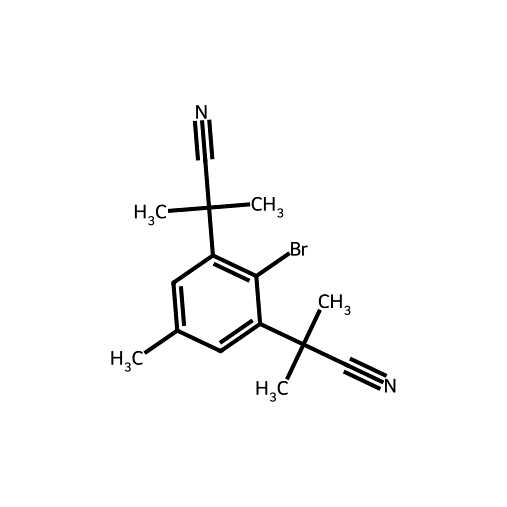 Cc1cc(C(C)(C)C#N)c(Br)c(C(C)(C)C#N)c1